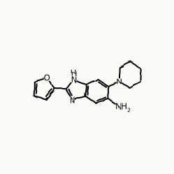 Nc1cc2nc(-c3ccco3)[nH]c2cc1N1CCCCC1